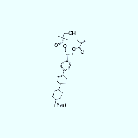 C=C(C)C(=O)OCC(COC(=O)C(C)(C)CO)c1ccc(C2=CCC(C3CCC(CCCCC)CC3)CC2)cc1